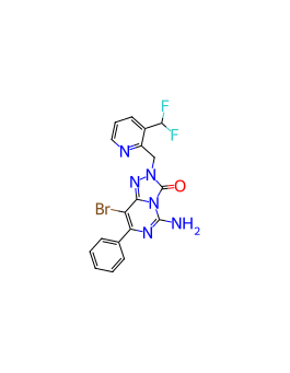 Nc1nc(-c2ccccc2)c(Br)c2nn(Cc3ncccc3C(F)F)c(=O)n12